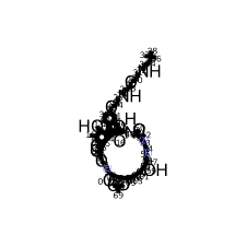 CO[C@H]1/C=C/O[C@@]2(C)Oc3c(C)c(O)c4c(=O)c(c5oc6cc(OCCNCCOCCNCCC(C)(C)C)ccc6nc-5c4c3C2=O)NC(=O)/C(C)=C\C=C\[C@H](C)[C@H](O)[C@@H](C)[C@@H](C)[C@@H](C)[C@H](OC(C)=O)[C@@H]1C